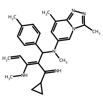 C=C/C(NC)=C(/C(=N)C1CC1)C(c1ccc(C)cc1)N(C)c1cc(C)c2nnc(C)n2c1